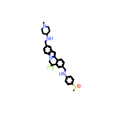 CN1CCC(NCc2ccc3c(c2)cc2n3CC(F)(F)c3cc(CNc4ccc([S+](C)[O-])cc4)ccc3-2)CC1